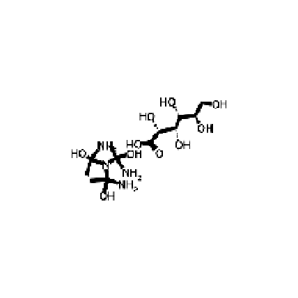 CC(N)(O)N(C(C)(N)O)C(C)(N)O.O=C(O)[C@H](O)[C@@H](O)[C@H](O)[C@H](O)CO